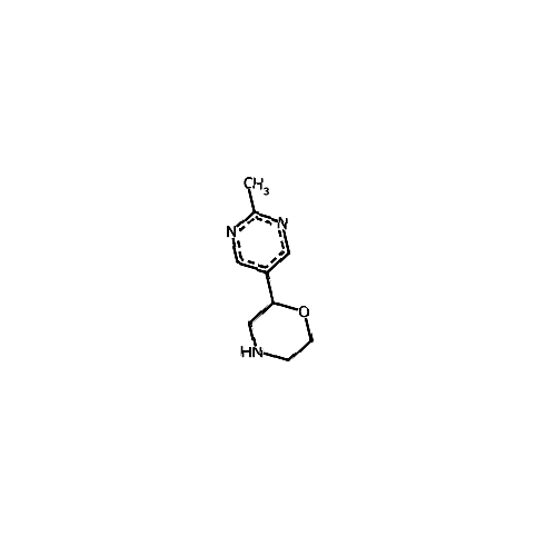 Cc1ncc(C2CNCCO2)cn1